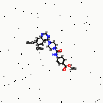 CCCCOC(=O)c1ccc(NC(=O)N2CCN(c3ncnc4cc(OC)c(OC)cc34)CC2)cc1